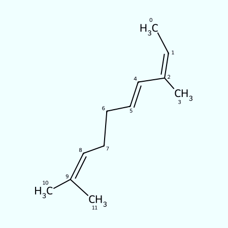 CC=C(C)C=CCCC=C(C)C